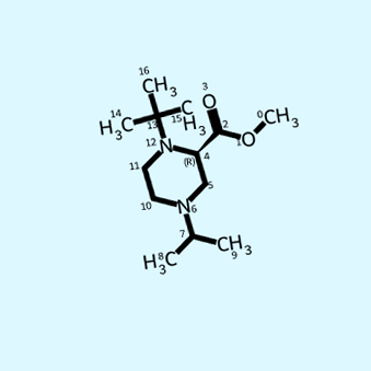 COC(=O)[C@H]1CN(C(C)C)CCN1C(C)(C)C